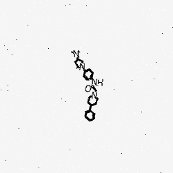 CN(C)C1CCN(c2ccc(NC(=O)CN3CCC(c4ccccc4)CC3)cc2)C1